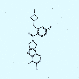 Cc1c(Cl)cnc2c3c(nn12)CN(C(=O)c1ccc(F)cc1OC1CN(C)C1)C3